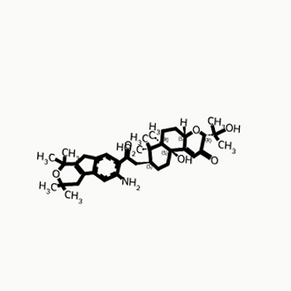 CC1(C)CC2=C(Cc3cc(C(=O)C[C@@H]4CC[C@@]5(O)C6=CC(=O)[C@@H](C(C)(C)O)O[C@H]6CC[C@]5(C)[C@@]4(C)C(=O)O)c(N)cc32)C(C)(C)O1